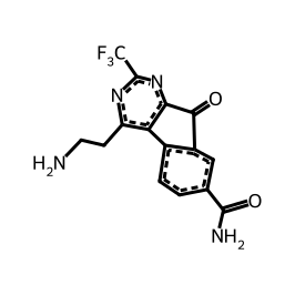 NCCc1nc(C(F)(F)F)nc2c1-c1ccc(C(N)=O)cc1C2=O